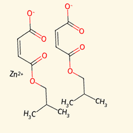 CC(C)COC(=O)/C=C\C(=O)[O-].CC(C)COC(=O)/C=C\C(=O)[O-].[Zn+2]